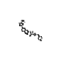 Cc1ncc(-c2ccc3cnc(NC(=O)[C@]45C[C@](CN6CCOCC6)(C4)C5)cc3c2)o1